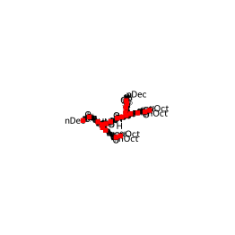 CCCCCCCCCCCOC(=O)C(C)(C)CCCCN(CCCCCCCC(=O)OC(CCCCCCCC)CCCCCCCC)CCNC(=O)CCC(=O)NCCN(CCCCCCC(C)(C)C(=O)OC(CCCCCCCC)CCCCCCCC)CCCCC(C)(C)C(=O)OCCCCCCCCCCC